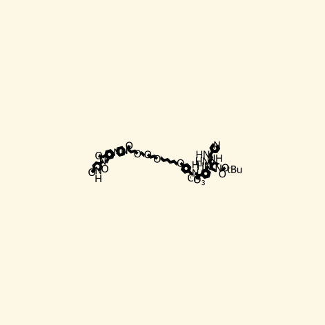 C[C@@H](NC(=O)c1cccc(NC2(C(=N)NC(=N)c3ccncc3)CCN(C(=O)OC(C)(C)C)CC2)c1)c1ccc(OCCCCCCOCCOCCOCCC(=O)N2CCN(c3ccc4c(c3)CN(C3CCC(=O)NC3=O)C4=O)CC2)cc1